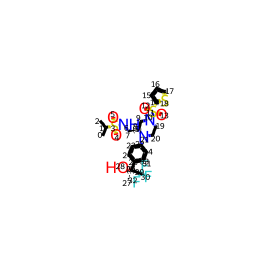 CC(C)S(=O)(=O)NC[C@H]1CN(S(=O)(=O)c2cccs2)CCN1c1ccc([C@](C)(O)C(F)(F)F)cc1